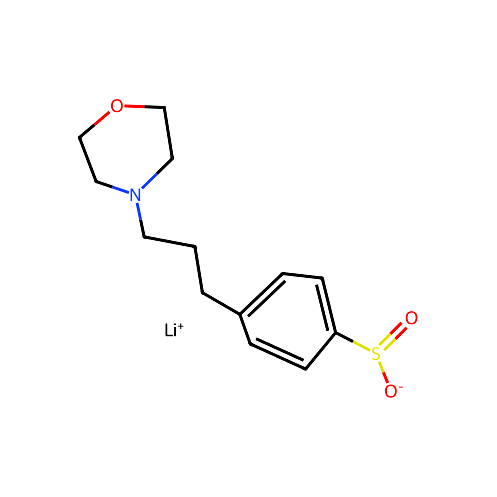 O=S([O-])c1ccc(CCCN2CCOCC2)cc1.[Li+]